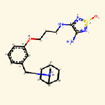 Nc1n[s+]([O-])nc1NCCCOc1cccc(CN2CC3CCC(CC3)C2)c1